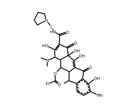 CCC(=O)OC1C2C(=C(O)C3(O)C(=O)C(C(=O)NCN4CCCC4)=C(O)C(N(C)C)C13)C(=O)c1c(ccc(C(C)(C)C)c1O)C2C